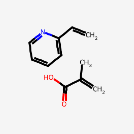 C=C(C)C(=O)O.C=Cc1ccccn1